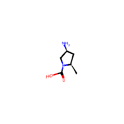 C[C@@H]1C[C@H](N)CN1C(=O)O